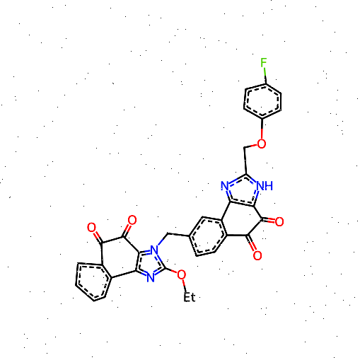 CCOc1nc2c(n1Cc1ccc3c(c1)-c1nc(COc4ccc(F)cc4)[nH]c1C(=O)C3=O)C(=O)C(=O)c1ccccc1-2